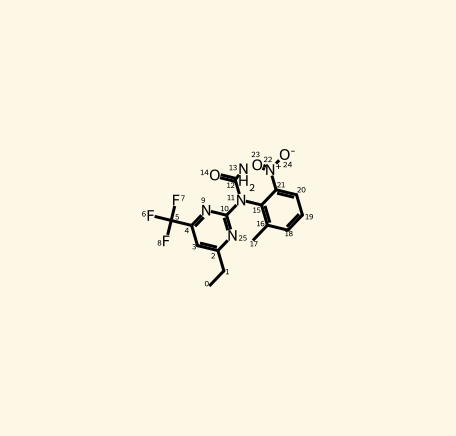 CCc1cc(C(F)(F)F)nc(N(C(N)=O)c2c(C)cccc2[N+](=O)[O-])n1